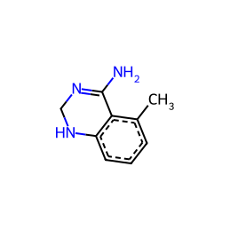 Cc1cccc2c1C(N)=NCN2